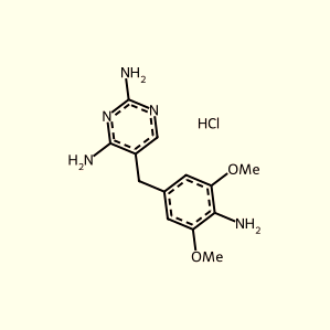 COc1cc(Cc2cnc(N)nc2N)cc(OC)c1N.Cl